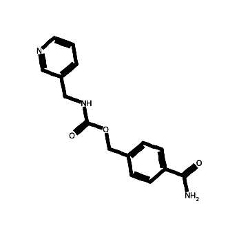 NC(=O)c1ccc(COC(=O)NCc2cccnc2)cc1